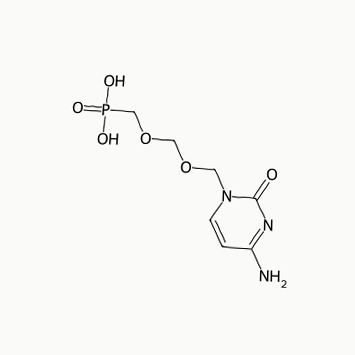 Nc1ccn(COCOCP(=O)(O)O)c(=O)n1